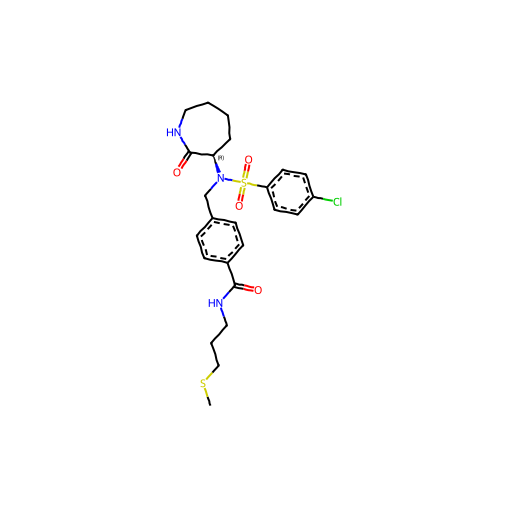 CSCCCNC(=O)c1ccc(CN([C@@H]2CCCCNC2=O)S(=O)(=O)c2ccc(Cl)cc2)cc1